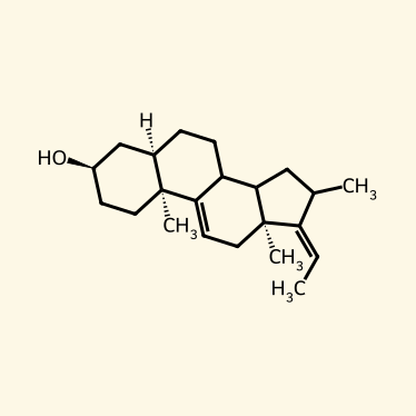 C/C=C1/C(C)CC2C3CC[C@@H]4C[C@H](O)CC[C@]4(C)C3=CC[C@]12C